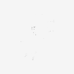 Cc1c(C(=O)O)c(C2CC2)nn1-c1cccc(C(F)(F)F)c1